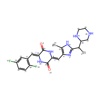 CCC(c1nc(/C=c2\[nH]c(=O)/c(=C/c3cc(F)ccc3F)[nH]c2=O)c(C(C)C)[nH]1)C1CNCCN1